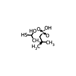 C=C(C)CS(=O)(=O)O.CC(O)S